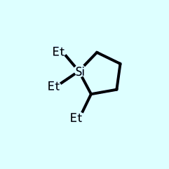 CCC1CCC[Si]1(CC)CC